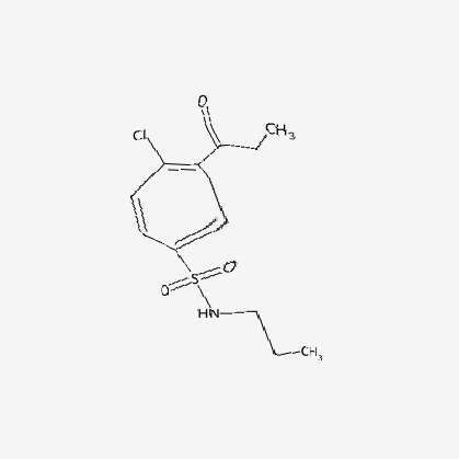 CCCNS(=O)(=O)c1ccc(Cl)c(C(=O)CC)c1